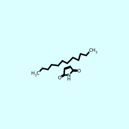 CCCCCCCCCCCC.O=C1C=CC(=O)N1